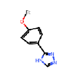 CCOc1ccc(-c2nnc[nH]2)cc1